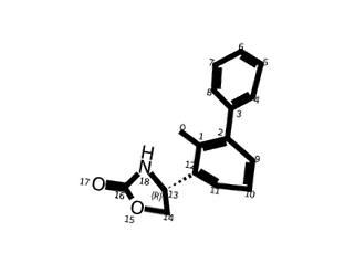 Cc1c(-c2ccccc2)cccc1[C@@H]1COC(=O)N1